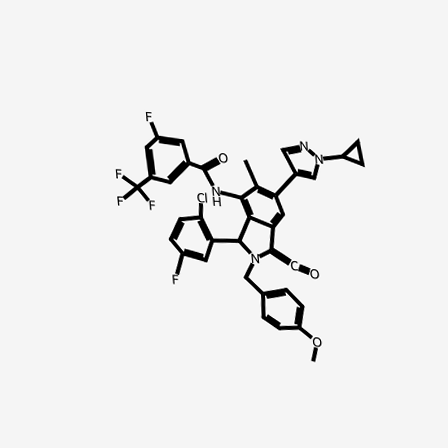 COc1ccc(CN2C(=C=O)c3cc(-c4cnn(C5CC5)c4)c(C)c(NC(=O)c4cc(F)cc(C(F)(F)F)c4)c3C2c2cc(F)ccc2Cl)cc1